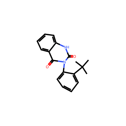 CC(C)(C)c1ccccc1-n1c(=O)[nH]c2ccccc2c1=O